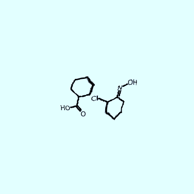 O=C(O)C1CCCCC1.ON=C1CCCCC1Cl